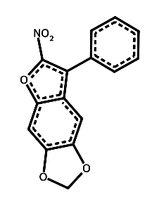 O=[N+]([O-])c1oc2cc3c(cc2c1-c1ccccc1)OCO3